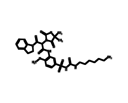 CCCCCCCNC(=O)NS(=O)(=O)c1ccc(OC)c(NC(=O)C(C(=O)N2CCc3ccccc32)N2C(=O)OC(C)(C)C2=O)c1